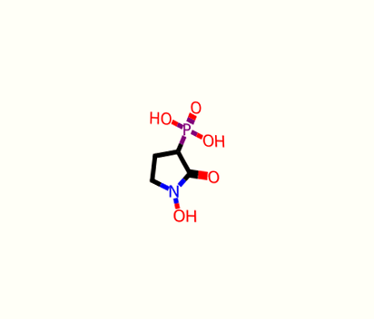 O=C1C(P(=O)(O)O)CCN1O